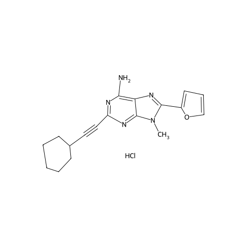 Cl.Cn1c(-c2ccco2)nc2c(N)nc(C#CC3CCCCC3)nc21